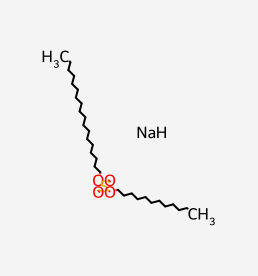 CCCCCCCCCCCCCCCCCCOS(=O)(=O)OCCCCCCCCCCCC.[NaH]